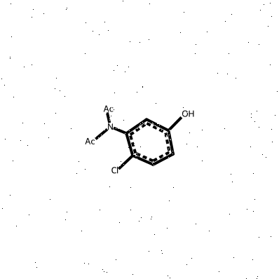 CC(=O)N(C(C)=O)c1cc(O)ccc1Cl